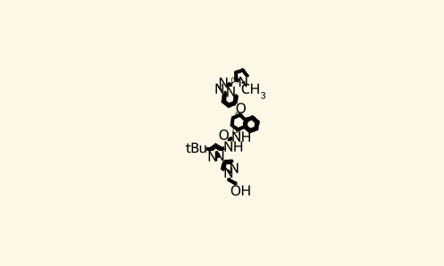 CN1CCC[C@H]1c1nnc2ccc(O[C@@H]3CC[C@H](NC(=O)Nc4cc(C(C)(C)C)nn4-c4cnn(CCO)c4)c4ccccc43)cn12